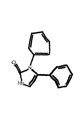 O=c1[nH]cc(-c2ccccc2)n1-c1ccccc1